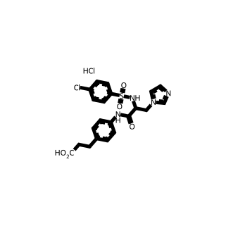 Cl.O=C(O)CCc1ccc(NC(=O)C(Cn2ccnc2)NS(=O)(=O)c2ccc(Cl)cc2)cc1